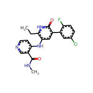 CCc1[nH]c(=O)c(-c2cc(Cl)ccc2F)cc1Nc1ccncc1C(=O)NC